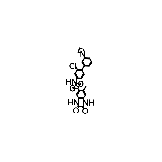 Cc1cc2[nH]c(=O)c(=O)[nH]c2cc1S(=O)(=O)Nc1ccc(-c2cccc(N3CCC3)c2)c(Cl)c1